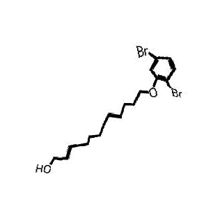 OCCCCCCCCCCCOc1cc(Br)ccc1Br